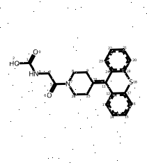 O=C(O)NCC(=O)N1CCC(=C2c3ccccc3Sc3ccccc32)CC1